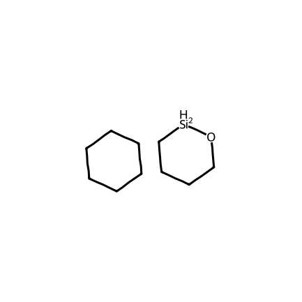 C1CCCCC1.C1CC[SiH2]OC1